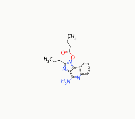 CCCC(=O)On1c(CCC)nc2c(N)nc3ccccc3c21